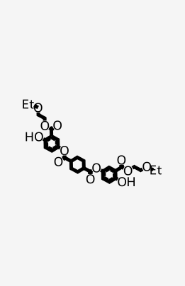 CCOCCOC(=O)c1cc(OC(=O)C2CCC(C(=O)Oc3ccc(O)c(C(=O)OCCOCC)c3)CC2)ccc1O